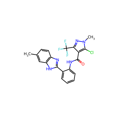 Cc1ccc2nc(-c3ccccc3NC(=O)c3c(C(F)(F)F)nn(C)c3Cl)[nH]c2c1